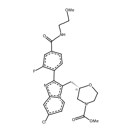 COCCNC(=O)c1ccc(-c2nc3cc(Cl)ccn3c2C[C@H]2CN(C(=O)OC)CCO2)c(F)c1